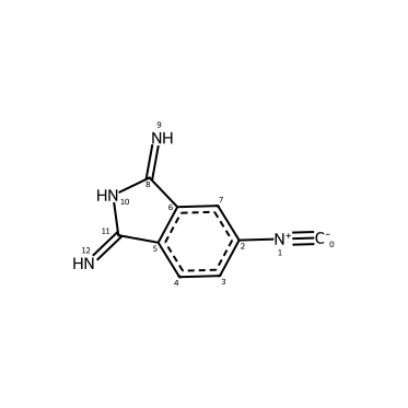 [C-]#[N+]c1ccc2c(c1)C(=N)NC2=N